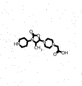 CC1C(N2CCN(CC(=O)O)CC2)OC(=O)N1C1CCNCC1